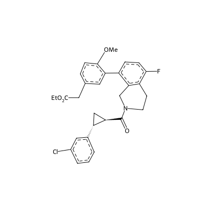 CCOC(=O)Cc1ccc(OC)c(-c2ccc(F)c3c2CN(C(=O)[C@@H]2C[C@H]2c2cccc(Cl)c2)CC3)c1